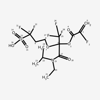 C=C(F)C(=O)OC(OCCC(F)(F)S(=O)(=O)O)(C(=O)N(CC)C(C)C)C(F)(F)F